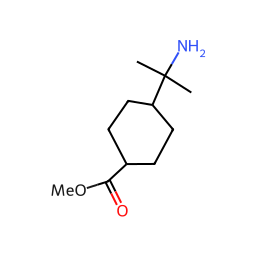 COC(=O)C1CCC(C(C)(C)N)CC1